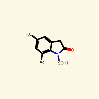 CC(=O)c1cc(C)cc2c1N(S(=O)(=O)O)C(=O)C2